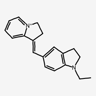 CCN1CCc2cc(C=C3CC[n+]4ccccc43)ccc21